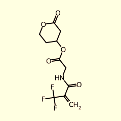 C=C(C(=O)NCC(=O)OC1CCOC(=O)C1)C(F)(F)F